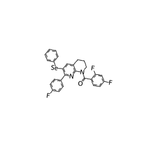 O=C(c1ccc(F)cc1F)N1CCCc2cc([Se]c3ccccc3)c(-c3ccc(F)cc3)nc21